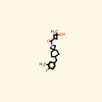 Cc1cc(CC2CCC3(CC2)CN(C(=O)C2CC(C)(O)C2)C3)ccc1F